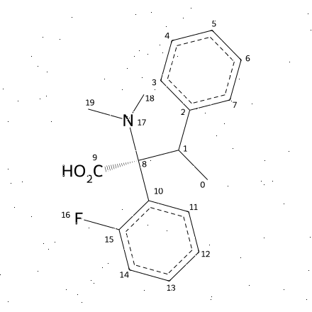 CC(c1ccccc1)[C@@](C(=O)O)(c1ccccc1F)N(C)C